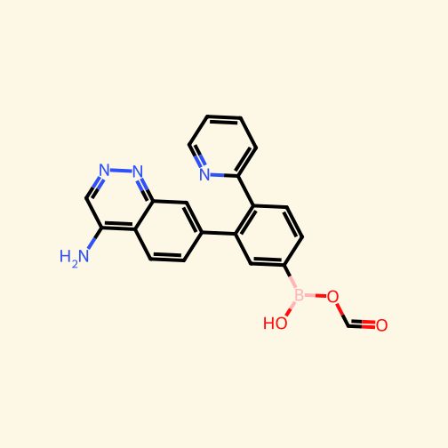 Nc1cnnc2cc(-c3cc(B(O)OC=O)ccc3-c3ccccn3)ccc12